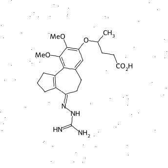 COc1c(OC(C)CCC(=O)O)cc2c(c1OC)C1=C(CCC1)/C(=N/NC(=N)N)CC2